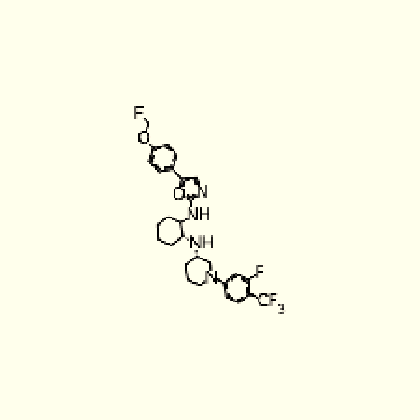 FCOc1ccc(-c2cnc(N[C@@H]3CCCC[C@H]3N[C@H]3CCCN(c4ccc(C(F)(F)F)c(F)c4)C3)o2)cc1